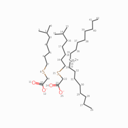 CC(C)CCCCCSCC(=O)[O-].CC(C)CCCCCSCC(=O)[O-].CCCCCCC[CH2][Sn+2][CH2]CCCCCCC